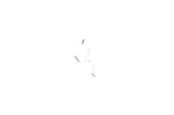 C=CCN(C=N)CC=C